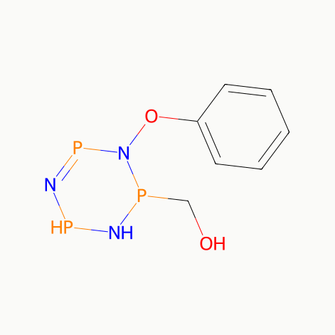 OCp1[nH][pH]npn1Oc1ccccc1